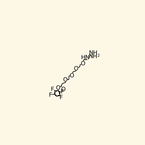 NNNCCOCCOCCOCCOCCC(=O)Oc1c(F)c(F)cc(F)c1F